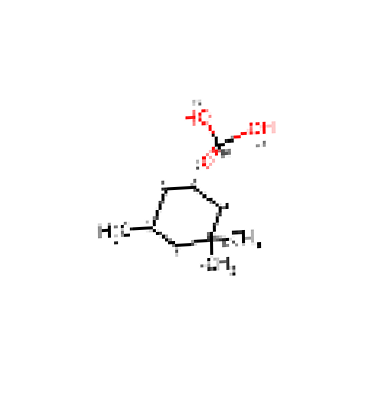 CC1CCCC(C)(C)C1.O=C(O)O